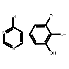 Oc1cccc(O)c1O.Oc1ccncn1